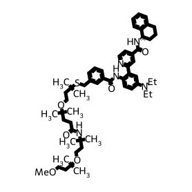 CCN(CC)c1ccc(NC(=O)c2cccc(CSC(C)(C)CCOC(C)(C)CCC(=O)NC(C)(C)CCOC(C)(C)CCOC)c2)c(-c2cc(C(=O)N[C@H]3CCCc4ccccc43)ccn2)c1